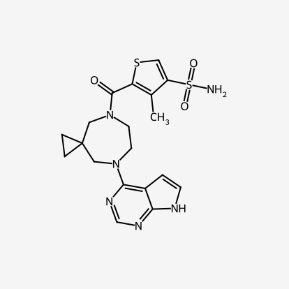 Cc1c(S(N)(=O)=O)csc1C(=O)N1CCN(c2ncnc3[nH]ccc23)CC2(CC2)C1